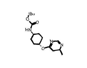 CC1CC(O[C@H]2CC[C@H](NC(=O)OC(C)(C)C)CC2)=NC=N1